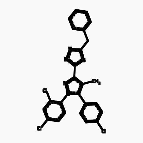 Cc1c(-c2nnc(Cc3ccccc3)s2)nn(-c2ccc(Cl)cc2Cl)c1-c1ccc(Cl)cc1